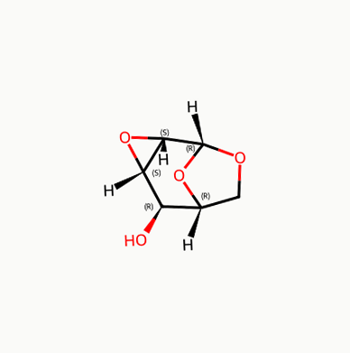 O[C@H]1[C@@H]2O[C@@H]2[C@@H]2OC[C@H]1O2